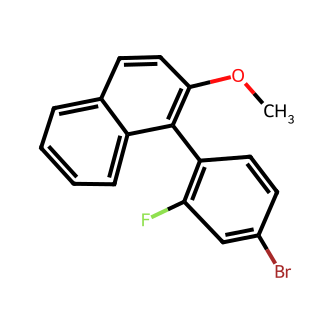 COc1ccc2ccccc2c1-c1ccc(Br)cc1F